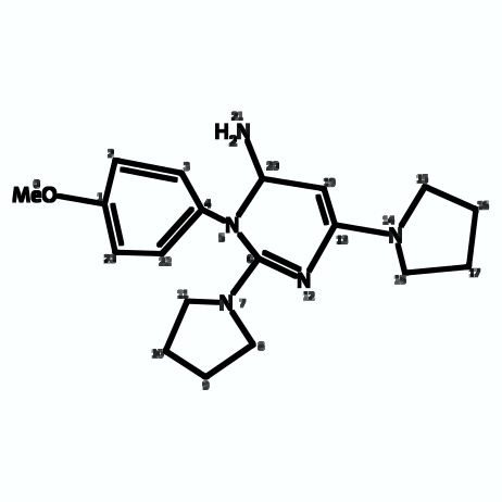 COc1ccc(N2C(N3CCCC3)=NC(N3CCCC3)=CC2N)cc1